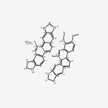 COc1ccc2c(c[n+](C)c3c4cc5c(cc4ccc23)OCO5)c1OC.C[n+]1cc2c3c(ccc2c2ccc4cc5c(cc4c21)OCO5)OCO3.[Cl-].[Cl-]